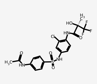 CC(=O)Nc1ccc(S(=O)(=O)Nc2ccc(NC(=O)[C@@](C)(O)C(F)(F)F)c(Cl)c2)cc1